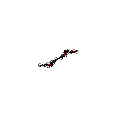 O=C(Oc1ccc(OCCCCOc2ccc(OC(=O)c3nnc(C(=O)Oc4ccc(OCC5CO5)cc4)o3)cc2)cc1)c1nnc(C(=O)Oc2ccc(OCC3CO3)cc2)o1